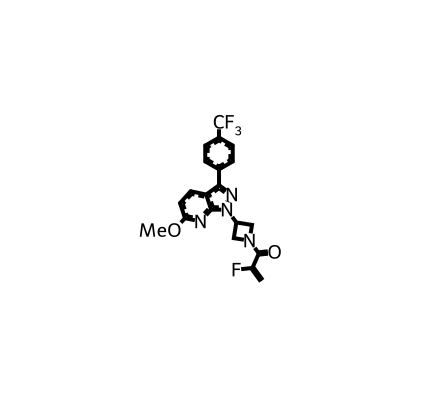 C=C(F)C(=O)N1CC(n2nc(-c3ccc(C(F)(F)F)cc3)c3ccc(OC)nc32)C1